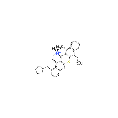 Cc1c2c(c(CC(C)(C)C)c3ccccc13)Sc1cc3cccc(CC4CCCC4)c3c3cc[n+](C)c-2c13